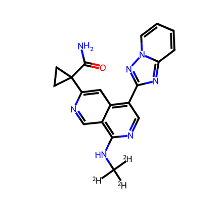 [2H]C([2H])([2H])Nc1ncc(-c2nc3ccccn3n2)c2cc(C3(C(N)=O)CC3)ncc12